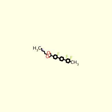 C/C=C/CCC1OCC(c2ccc(-c3ccc(-c4ccc(C)c(F)c4F)cc3)c(F)c2)CO1